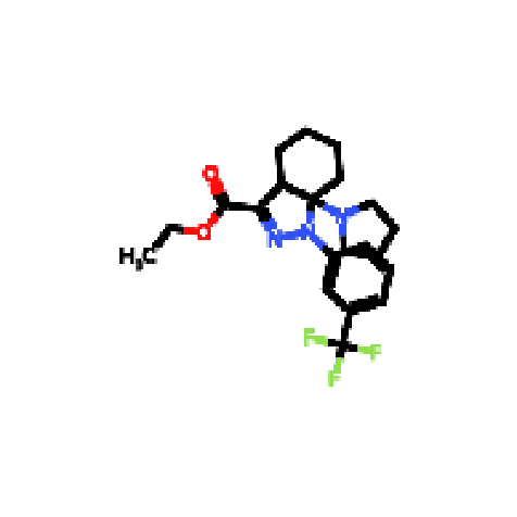 CCOC(=O)C1=NN(c2cccc(C(F)(F)F)c2)C2(N3CCCC3)CCCCC12